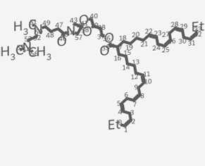 CC/C=C\C/C=C\C/C=C\C/C=C\CCCCCC(CCCC/C=C\C/C=C\C/C=C\C/C=C\CC)C(=O)OCCC1COC2(CN(C(=O)CCCN(C)CCN(C)C)C2)O1